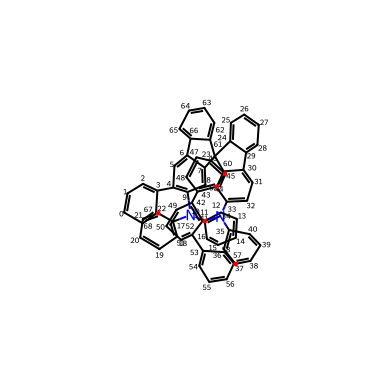 c1ccc(-c2cc3c(cc2N(c2ccccc2)c2ccccc2)C2(c4ccccc4-c4ccc(N(c5ccccc5)c5c(-c6ccccc6)cccc5-c5ccccc5)cc42)c2ccccc2-3)cc1